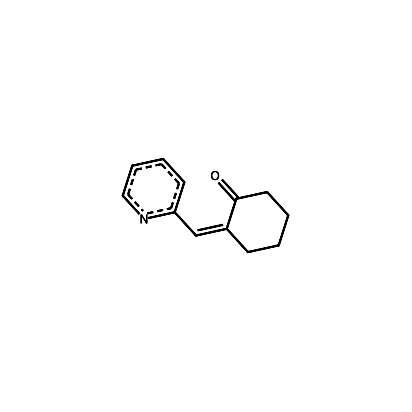 O=C1CCCCC1=Cc1ccccn1